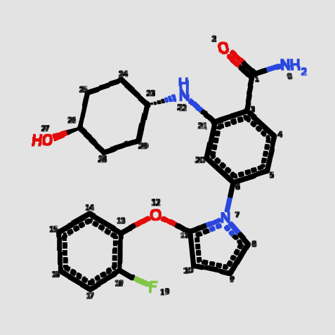 NC(=O)c1ccc(-n2cccc2Oc2ccccc2F)cc1N[C@H]1CC[C@H](O)CC1